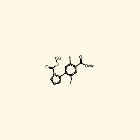 COC(=O)c1cc(F)c(-c2cccn2C(=O)OC(C)(C)C)cc1F